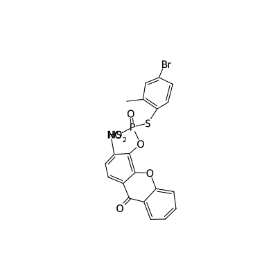 Cc1cc(Br)ccc1SP(=O)(S)Oc1c([N+](=O)[O-])ccc2c(=O)c3ccccc3oc12